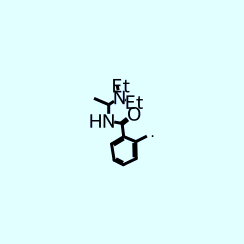 [CH2]c1ccccc1C(=O)NC(C)N(CC)CC